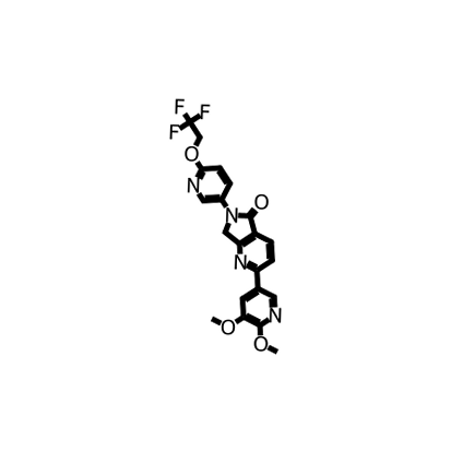 COc1cc(-c2ccc3c(n2)CN(c2ccc(OCC(F)(F)F)nc2)C3=O)cnc1OC